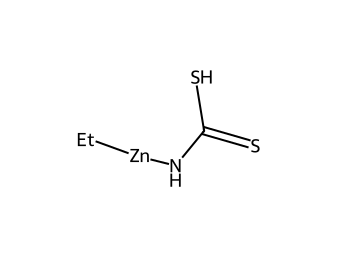 C[CH2][Zn][NH]C(=S)S